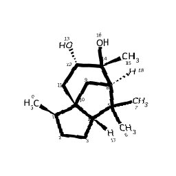 C[C@@H]1CC[C@H]2C(C)(C)[C@H]3C[C@@]12C[C@H](O)[C@]3(C)O